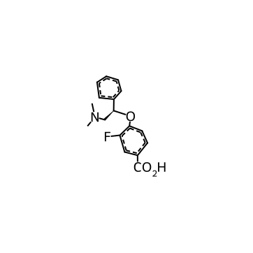 CN(C)C[C@H](Oc1ccc(C(=O)O)cc1F)c1ccccc1